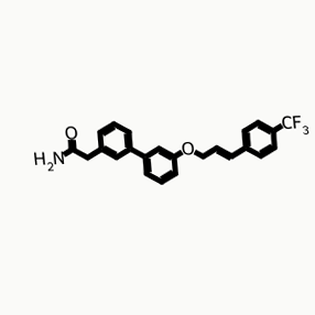 NC(=O)Cc1cccc(-c2cccc(OC/C=C/c3ccc(C(F)(F)F)cc3)c2)c1